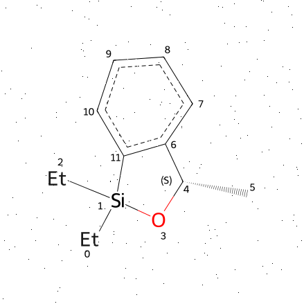 CC[Si]1(CC)O[C@@H](C)c2ccccc21